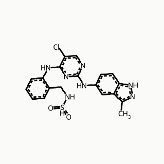 Cc1n[nH]c2ccc(Nc3ncc(Cl)c(Nc4ccccc4CN[SH](=O)=O)n3)cc12